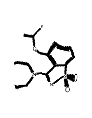 CCN(CC)C1=NS(=O)(=O)c2cccc(OC(C)F)c21